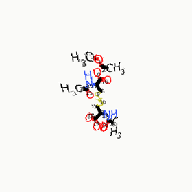 COC(C)OC(=O)C(CSSCC(NC(C)=O)C(=O)O)NC(C)=O